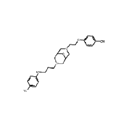 N#Cc1ccc(NCCCN2CC3CN(CCOc4ccc(C#N)cc4)CC(C2)O3)cc1